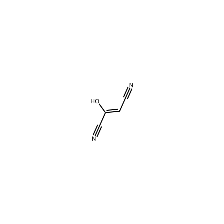 N#CC=C(O)C#N